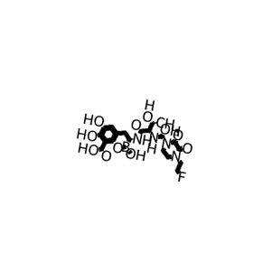 C[C@@H](O)[C@@H](NC(O)N1CCN(CCF)C(=O)C1=O)C(=O)N[C@H]1Cc2cc(O)c(O)c(C(=O)O)c2OB1O